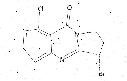 O=c1c2c(Cl)cccc2nc2n1CCC2Br